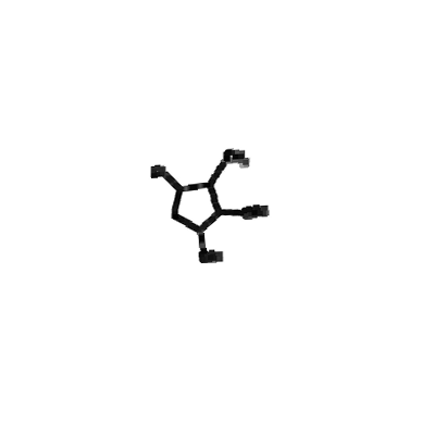 CCC1CC(OC(C)=O)C(OC(C)=O)C1C